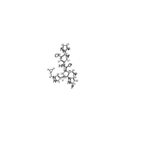 C[C@]1(c2cnn(CC3CC3)c2)C[C@@H](C(=O)Nc2cnc(-n3nccn3)c(Cl)c2)c2cnc3cc(F)nn3c21